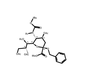 COC(=O)[C@@]1(OCc2ccccc2)C[C@H](OC(C)=O)[C@@H](N(C(C)=O)C(=O)OC(C)(C)C)[C@H]([C@H](OC(C)=O)[C@@H](COC(C)=O)OC(C)=O)O1